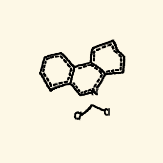 ClCCl.c1ccc2c(c1)cnc1ccccc12